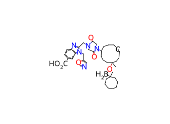 BC1(COC2(C)CCCCCCCC(N3CC(=O)N(Cc4nc5ccc(C(=O)O)cc5n4Cc4cnco4)CC3=O)CCC2)CCCCCCC1